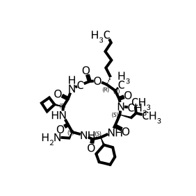 CCCCCC[C@H]1OC(=O)CNC(=O)[C@H](C2CCC2)NC(=O)[C@H](CN)NC(=O)[C@H](C2CCCCC2)NC(=O)[C@H](CC(C)C)N(C)C(=O)[C@@H]1C